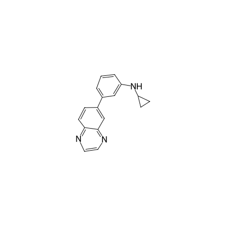 c1cc(NC2CC2)cc(-c2ccc3nccnc3c2)c1